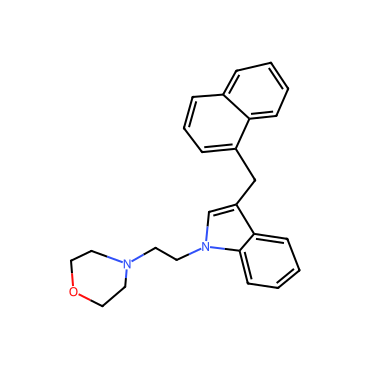 c1ccc2c(Cc3cn(CCN4CCOCC4)c4ccccc34)cccc2c1